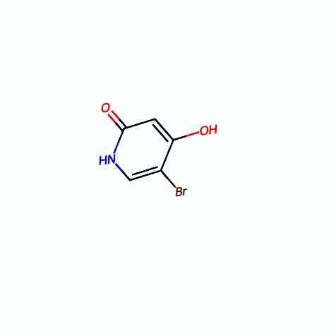 O=c1cc(O)c(Br)c[nH]1